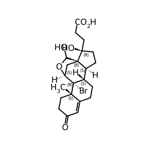 C[C@]12CCC(=O)C=C1CC[C@H]1[C@@H]3CC[C@@](O)(CCC(=O)O)[C@@]34C[C@H](OC4O)[C@@]12Br